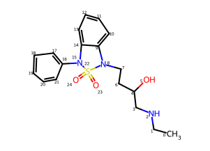 CCNCC(O)CCN1c2ccccc2N(c2ccccc2)S1(=O)=O